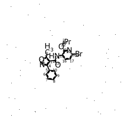 Cc1onc(-c2ccccc2)c1C(=O)Nc1ccc(Br)nc1OC(C)C